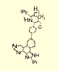 C=C(NC1=C(C)COc2cc(-c3ccc4c(c3)c3cncnc3c3nc(C(C)C)[nH]c43)ccc21)C(C)C